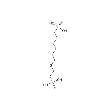 O=P(O)(O)CCSCCCSCCP(=O)(O)O